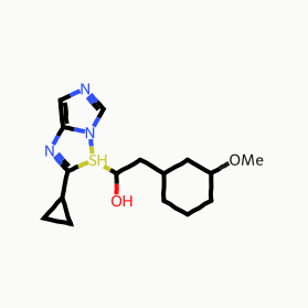 COC1CCCC(CC(O)[SH]2C(C3CC3)=Nc3cncn32)C1